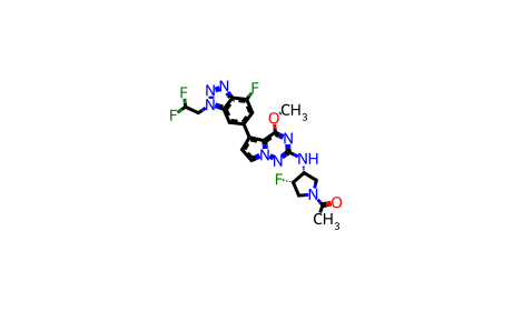 COc1nc(N[C@@H]2CN(C(C)=O)C[C@@H]2F)nn2ccc(-c3cc(F)c4nnn(CC(F)F)c4c3)c12